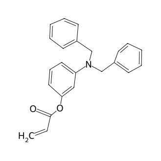 C=CC(=O)Oc1cccc(N(Cc2ccccc2)Cc2ccccc2)c1